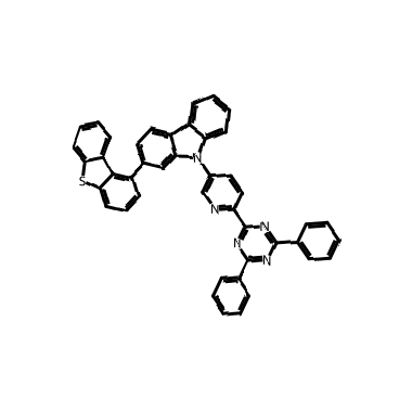 c1ccc(-c2nc(-c3ccccc3)nc(-c3ccc(-n4c5ccccc5c5ccc(-c6cccc7sc8ccccc8c67)cc54)cn3)n2)cc1